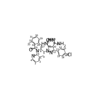 Cc1cccnc1-n1c(Cn2nc(-c3ccc(Cl)cc3)c(C(=N)N)c2NO)cc2cccc(C)c2c1=O